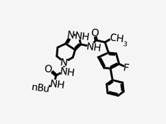 CCCCNC(=O)NN1CCc2n[nH]c(NC(=O)C(C)c3ccc(-c4ccccc4)c(F)c3)c2C1